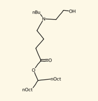 CCCCCCCCC(CCCCCCCC)OC(=O)CCCN(CCO)CCCC